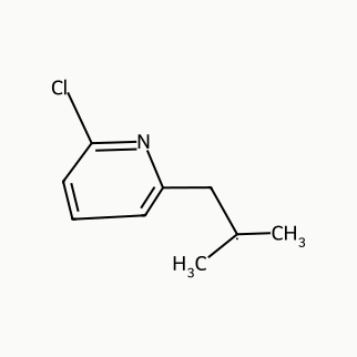 C[C](C)Cc1cccc(Cl)n1